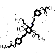 C=CC(=O)Oc1ccc(C#Cc2cc(OC(=O)C=C)c(/C=C/COc3ccc(OC(=O)C=C)cc3)c(OC(=O)C=C)c2C)cc1